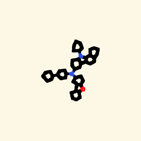 c1ccc(-c2ccc(N(c3ccc4oc5ccccc5c4c3)c3ccc4c(c3)c3ccc5ccccc5c3n4-c3ccccc3)cc2)cc1